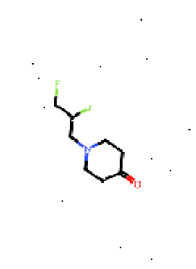 O=C1CCN(CC(F)CF)CC1